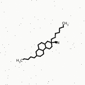 CCCCCCCC1(C#N)CCC2C(CCC3CC(CCCCC)CCC32)C1